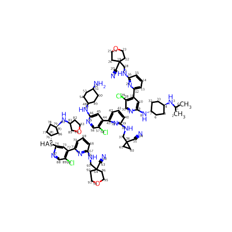 CC(C)N[C@H]1CC[C@H](Nc2cc(-c3cccc(NCC4(C#N)CCOCC4)n3)c(Cl)cn2)CC1.N#CC1(CNc2cccc(-c3cc(NC4CCC(N)CC4)ncc3Cl)n2)CC1.N#CC1(CNc2cccc(-c3cc([AsH][C@@H]4CC[C@@H](NC5CCOC5)C4)ncc3Cl)n2)CCOCC1